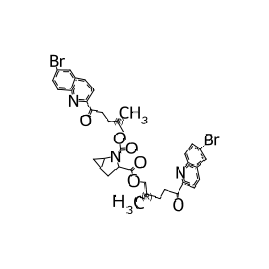 C[C@H](CCC(=O)c1ccc2cc(Br)ccc2n1)COC(=O)C1CC2CC2N1C(=O)OC[C@H](C)CCC(=O)c1ccc2cc(Br)ccc2n1